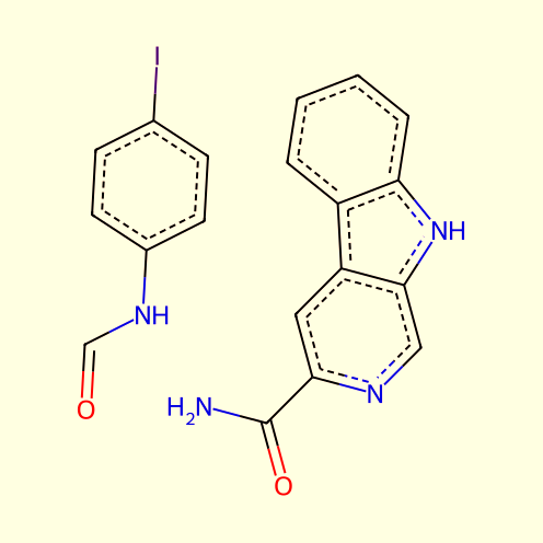 NC(=O)c1cc2c(cn1)[nH]c1ccccc12.O=CNc1ccc(I)cc1